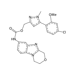 COc1cc(Cl)ccc1-c1cc(COC(=O)Nc2ccc3c(c2)nc2n3CCOC2)nn1C